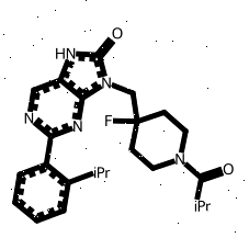 CC(C)C(=O)N1CCC(F)(Cn2c(=O)[nH]c3cnc(-c4ccccc4C(C)C)nc32)CC1